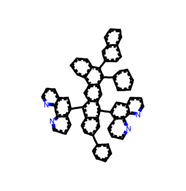 c1ccc(-c2ccc3c(-c4cc5cccnc5c5ncccc45)c4cc5c(cc4c(-c4cc6cccnc6c6ncccc46)c3c2)c(-c2ccccc2)c(-c2ccc3ccccc3c2)c2ccccc25)cc1